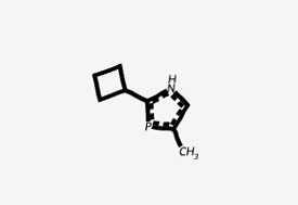 Cc1c[nH]c(C2CCC2)p1